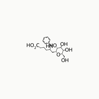 O=C(O)CCCC(C[C@@H]1O[C@H](CO)[C@H](O)[C@H](O)[C@H]1O)Nc1ccccc1